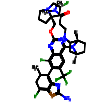 CC1CC(F)=c2sc(N)nc2=C1c1c(C(F)(F)F)cc2c(N3[C@H]4CC[C@H]3C(NCCC(=O)N(C)C)C4)nc(OC[C@@]34CCCN3C[C@H](F)C4)nc2c1F